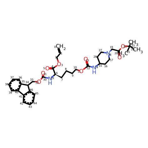 C=CCOC(=O)[C@@H](CCCCOC(=O)NC1CCN(CC(=O)OC(C)(C)C)CC1)NC(=O)OCC1c2ccccc2-c2ccccc21